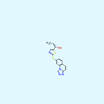 C/C=C(/O)c1cnc(Sc2ccc3ccc4nncn4c3c2)s1